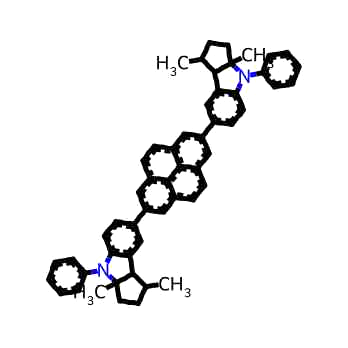 CC1CCC2(C)C1c1cc(-c3cc4ccc5cc(-c6ccc7c(c6)C6C(C)CCC6(C)N7c6ccccc6)cc6ccc(c3)c4c56)ccc1N2c1ccccc1